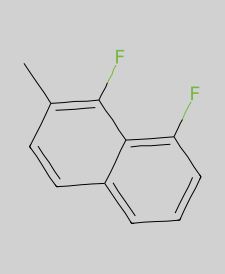 Cc1ccc2cccc(F)c2c1F